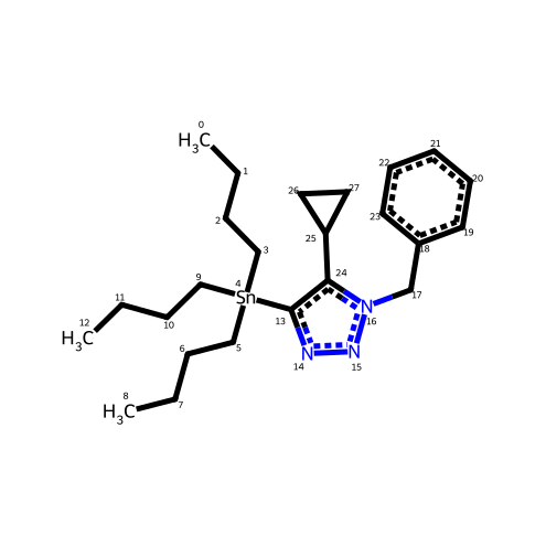 CCC[CH2][Sn]([CH2]CCC)([CH2]CCC)[c]1nnn(Cc2ccccc2)c1C1CC1